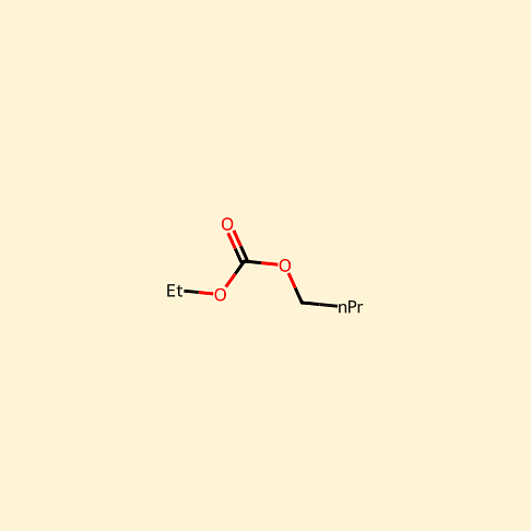 C[CH]CCOC(=O)OCC